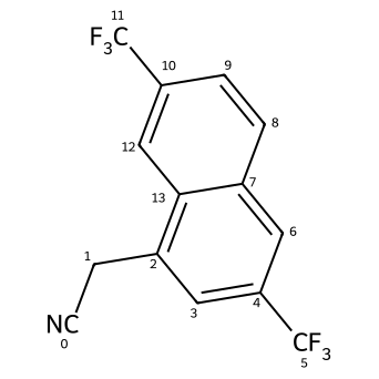 N#CCc1cc(C(F)(F)F)cc2ccc(C(F)(F)F)cc12